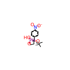 CCC(O[Si](C)(C)C)(c1ccc([N+](=O)[O-])cc1)[PH](=O)O